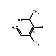 C=C/C(=C(/F)C(C)O)C(F)(F)F